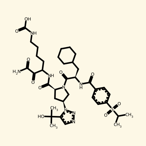 CC(C)S(=O)(=O)c1ccc(C(=O)N[C@H](CC2CCCCC2)C(=O)N2C[C@@H](n3nncc3C(C)(C)O)C[C@H]2C(=O)NC(CCCCNC(=O)O)C(=O)C(N)=O)cc1